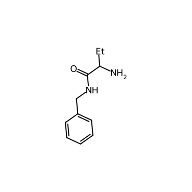 CCC(N)C(=O)NCc1ccccc1